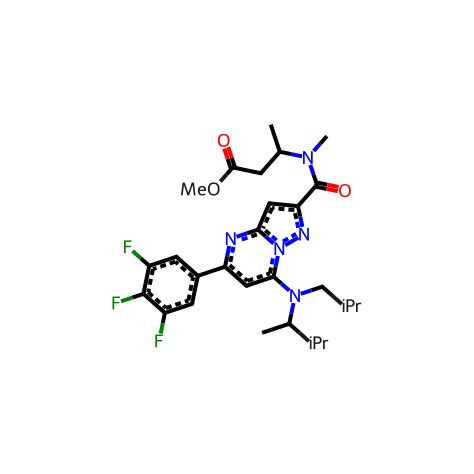 COC(=O)CC(C)N(C)C(=O)c1cc2nc(-c3cc(F)c(F)c(F)c3)cc(N(CC(C)C)C(C)C(C)C)n2n1